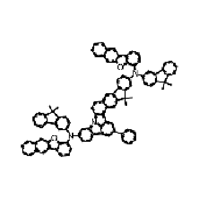 CC1(C)c2ccccc2-c2cc(N(c3ccc4c(c3)C(C)(C)c3cc5c(ccc6c5c5cc(-c7ccccc7)cc7c8ccc(N(c9ccc%10c(c9)-c9ccccc9C%10(C)C)c9cccc%10c9oc9cc%11ccccc%11cc9%10)cc8n6c75)cc3-4)c3cccc4c3oc3cc5ccccc5cc34)ccc21